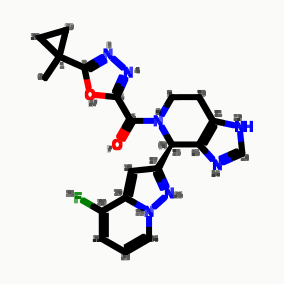 CC1(c2nnc(C(=O)N3CCc4[nH]cnc4[C@H]3c3cc4c(F)cccn4n3)o2)CC1